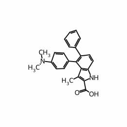 Cc1c(C(=O)O)[nH]c2ccc(-c3ccccc3)c(-c3ccc(N(C)C)cc3)c12